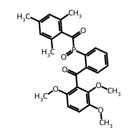 COc1ccc(OC)c(C(=O)c2ccccc2[P](=O)C(=O)c2c(C)cc(C)cc2C)c1OC